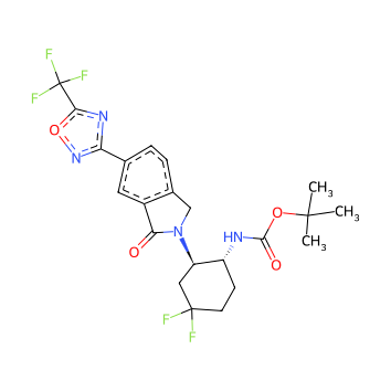 CC(C)(C)OC(=O)N[C@@H]1CCC(F)(F)C[C@H]1N1Cc2ccc(-c3noc(C(F)(F)F)n3)cc2C1=O